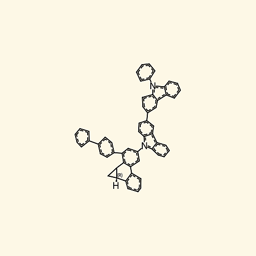 c1ccc(-c2ccc(-c3cc(-n4c5ccccc5c5cc(-c6ccc7c(c6)c6ccccc6n7-c6ccccc6)ccc54)cc4c3C3C[C@H]3c3ccccc3-4)cc2)cc1